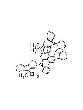 CC1(C)c2ccccc2-c2ccc(N(c3ccc4c(c3)C(C)(C)c3ccccc3-4)c3ccccc3-c3ccc4c(c3)-c3ccccc3C43c4ccccc4N(c4ccccc4)c4ccccc43)cc21